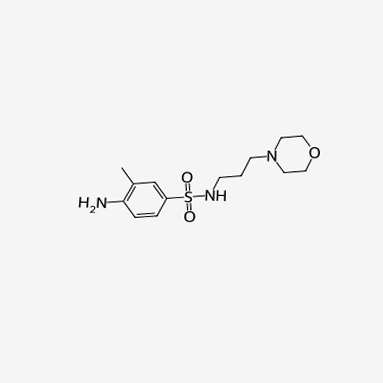 Cc1cc(S(=O)(=O)NCCCN2CCOCC2)ccc1N